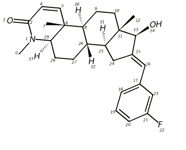 CN1C(=O)C=C[C@]2(C)[C@H]3CC[C@]4(C)[C@@H](O)C(=Cc5cccc(F)c5)C[C@H]4[C@@H]3CC[C@@H]12